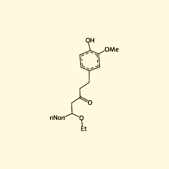 CCCCCCCCCC(CC(=O)CCc1ccc(O)c(OC)c1)OCC